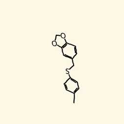 Cc1ccc(SCc2ccc3c(c2)OCO3)cc1